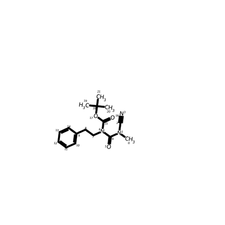 CN(C#N)C(=O)N(CCc1ccccc1)C(=O)OC(C)(C)C